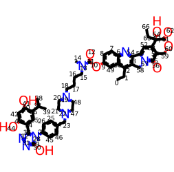 CCc1c2c(nc3ccc(OC(=O)N(C)CCCCN4CCN(Cc5ccc(-n6c(O)nnc6-c6cc(C(C)C)c(O)cc6O)cc5)CC4)cc13)-c1cc3c(c(=O)n1C2)COC(=O)[C@]3(O)CC